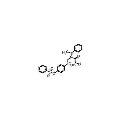 C[C@@H](c1ccccc1)N(C[C@H](O)c1ccc(OS(=O)(=O)c2ccccc2)cc1)C(=O)CCl